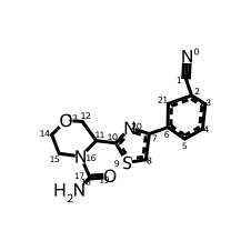 N#Cc1cccc(-c2csc(C3COCCN3C(N)=O)n2)c1